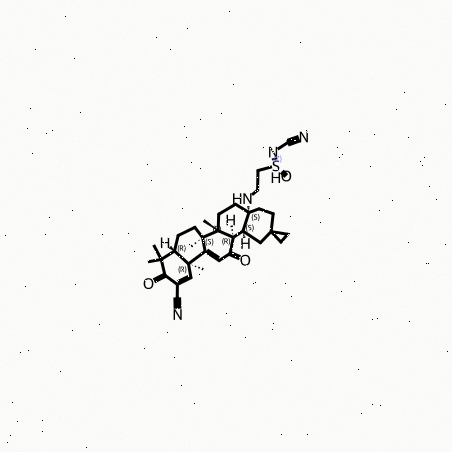 CC1(C)C(=O)C(C#N)=C[C@]2(C)C3=CC(=O)[C@@H]4[C@@H]5CC6(CC6)CC[C@]5(NCC/[SH](=O)=N/C#N)CC[C@@]4(C)[C@]3(C)CC[C@@H]12